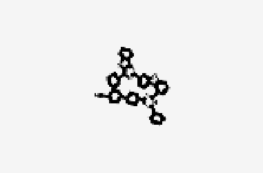 N#Cc1ccc(-c2ccc(-c3nc(-c4ccccc4)nc(-c4cccc5oc6cc(-c7nc(-c8ccccc8)c8sc9ccccc9c8n7)ccc6c45)n3)cc2)cc1